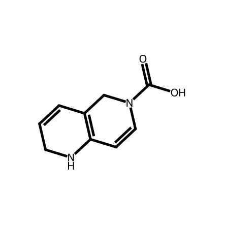 O=C(O)N1C=CC2=C(C=CCN2)C1